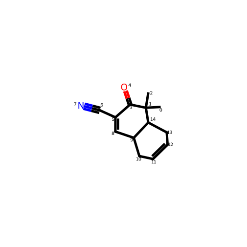 CC1(C)C(=O)C(C#N)=CC2CC=CCC21